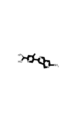 CCC[C@H](O)c1cc(C)c(-c2cc3cnc(N)cc3cn2)cn1